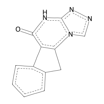 O=c1[nH]c2nncn2c2c1-c1ccccc1C2